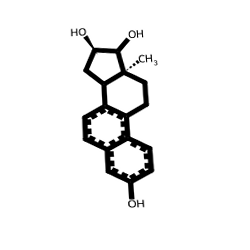 C[C@]12CCc3c(ccc4cc(O)ccc34)C1C[C@@H](O)C2O